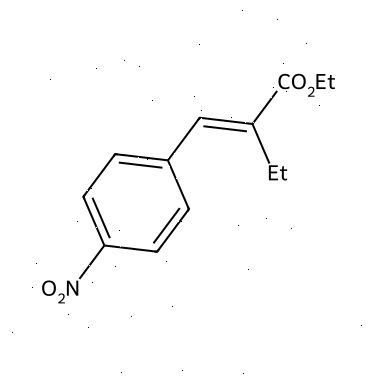 CCOC(=O)C(=Cc1ccc([N+](=O)[O-])cc1)CC